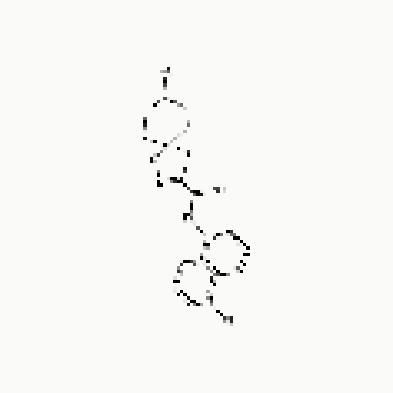 CC(C)(C)C1CCC2(CC1)CC(C(=O)Nc1cccc3c(O)cccc13)=NO2